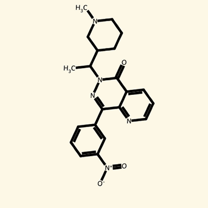 CC(C1CCCN(C)C1)n1nc(-c2cccc([N+](=O)[O-])c2)c2ncccc2c1=O